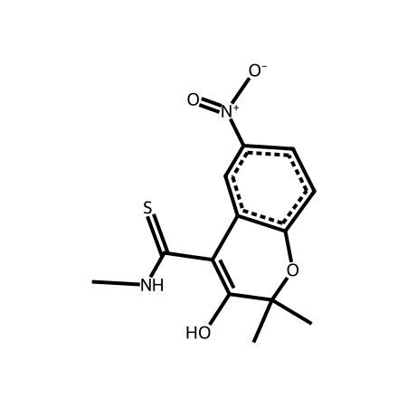 CNC(=S)C1=C(O)C(C)(C)Oc2ccc([N+](=O)[O-])cc21